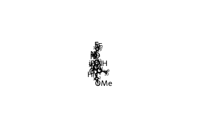 COC1CC(Nc2cc(C3CC3)cnc2C(=O)N(CC(C)C)C2CNC[C@H](c3nnc(C4CC(F)(F)C4)o3)C2)C1